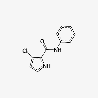 O=C(Nc1ccccc1)c1[nH]ccc1Cl